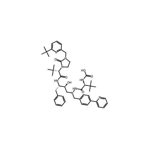 CC(C)(C)c1cccc(CN2CCN([C@H](C(=O)N[C@@H](Cc3ccccc3)[C@@H](O)CN(Cc3ccc(-c4ccccn4)cc3)NC(=O)[C@@H](NC(=O)O)C(C)(C)C)C(C)(C)C)C2=O)n1